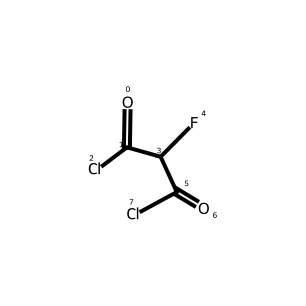 O=C(Cl)[C](F)C(=O)Cl